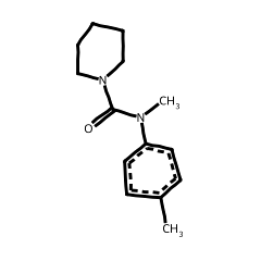 Cc1ccc(N(C)C(=O)N2CCCCC2)cc1